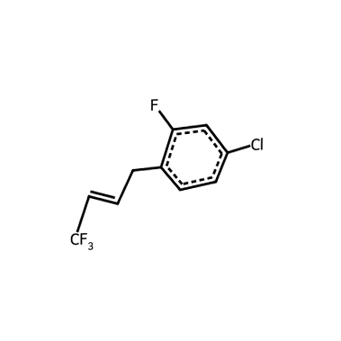 Fc1cc(Cl)ccc1CC=CC(F)(F)F